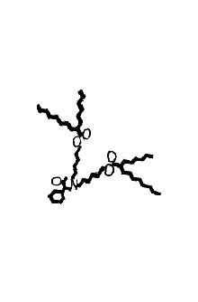 CCCCCCCCC(CCCCCC)C(=O)OCCCCCCN(CCCCCCOC(=O)C(CCCCCC)CCCCCCCC)CC(C(C)=O)C1CCCCC1